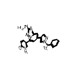 CC[C@@H](c1ccccc1)n1cc(-c2cc(-c3ccc(=O)[nH]c3)n3nc(N)nc3c2)cn1